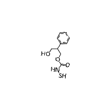 O=C(NS)OCC(CO)c1ccccc1